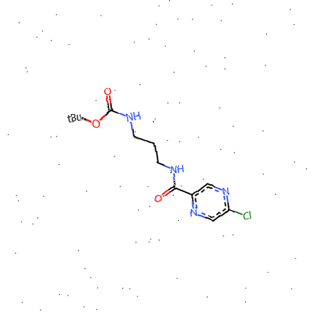 CC(C)(C)OC(=O)NCCCNC(=O)c1cnc(Cl)cn1